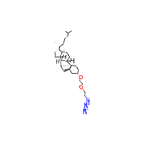 CC(C)CCC[C@@H](C)[C@H]1CC[C@H]2[C@@H]3CC=C4C[C@@H](OCCOCCN=[N+]=[N-])CC[C@]4(C)[C@H]3CC[C@]12C